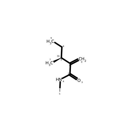 C=C(C(=O)NI)[C@@H](C)CC